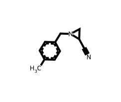 Cc1ccc(CN2CC2C#N)cc1